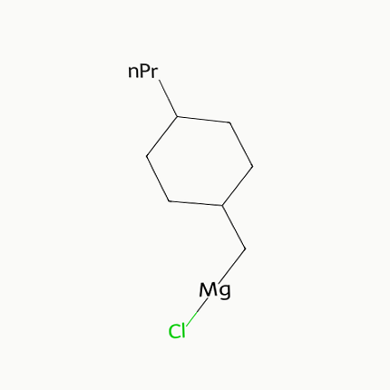 CCCC1CCC([CH2][Mg][Cl])CC1